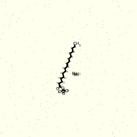 CCCCCCCCC=CCCCCCCCC(=O)OP(=O)([O-])[O-].[Na+].[Na+]